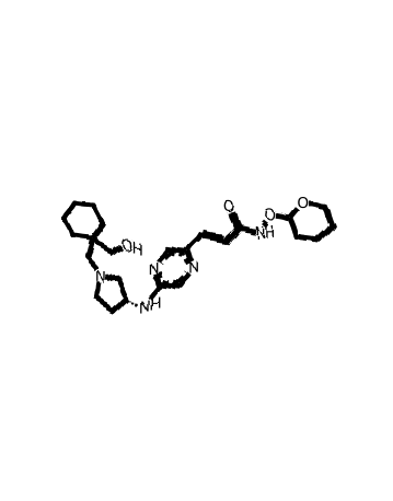 O=C(C=Cc1cnc(N[C@@H]2CCN(CC3(CO)CCCCC3)C2)cn1)NOC1CCCCO1